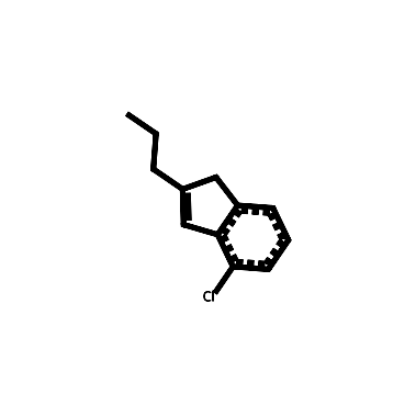 CCCC1=Cc2c(Cl)cccc2C1